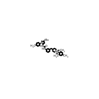 Cc1ccc(-n2nc(C(C)(C)C)cc2NC(=O)Nc2cccc(CC3CCN(S(=O)(=O)c4c(C)cc(C)cc4C)CC3)c2)cc1